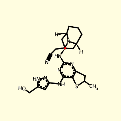 CC1Cc2nc(N[C@@H]3C[C@H]4CCC[C@@H](C3)N4CCC#N)nc(Nc3cc(CO)[nH]n3)c2S1